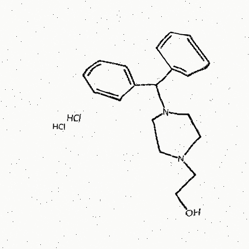 Cl.Cl.OCCN1CCN(C(c2ccccc2)c2ccccc2)CC1